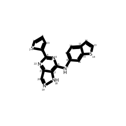 c1csc(-c2nc(Nc3ccc4ccsc4c3)c3[nH]ncc3n2)c1